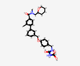 Cc1cc(C(=O)N(C)CC2CCCCO2)ccc1-c1cccc(COc2ccc(Cn3oc(=O)[nH]c3=O)cc2)c1